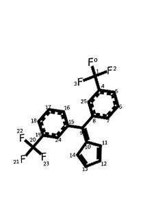 FC(F)(F)c1cccc(C(=C2C=CC=C2)c2cccc(C(F)(F)F)c2)c1